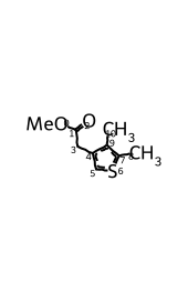 COC(=O)Cc1csc(C)c1C